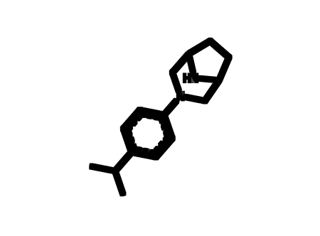 CC(C)c1ccc(N2CC3CCC(C2)N3)cc1